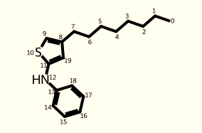 CCCCCCCCc1csc(Nc2ccccc2)c1